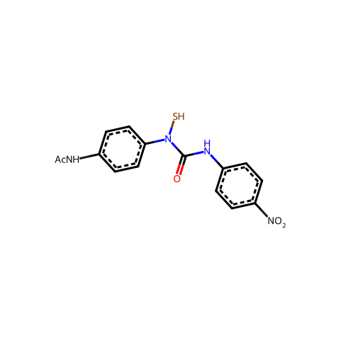 CC(=O)Nc1ccc(N(S)C(=O)Nc2ccc([N+](=O)[O-])cc2)cc1